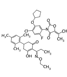 CC(C)=C1OC(=O)N(c2cc(OC3CCCC3)c(Cl)cc2F)C1=O.CCO/N=C(\CC)C1=C(O)CC(c2c(C)cc(C)cc2C)CC1=O